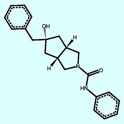 O=C(Nc1ccccc1)N1C[C@@H]2C[C@@](O)(Cc3ccccc3)C[C@@H]2C1